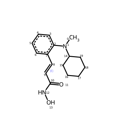 CN(c1ccccc1/C=C/C(=O)NO)C1CCCCC1